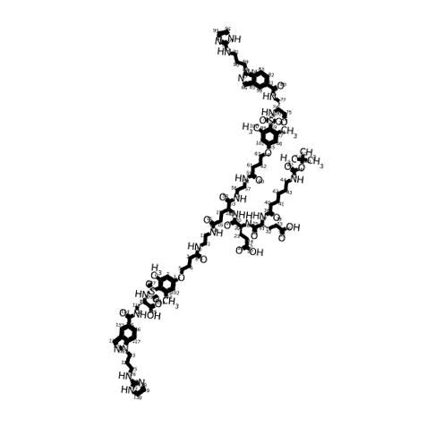 Cc1cc(OCCCC(=O)NCCNC(=O)CCC(NC(=O)[C@H](CCC(=O)O)NC(=O)[C@@H](CCC(=O)O)NC(=O)CCCCCNC(=O)OC(C)(C)C)C(=O)NCCNC(=O)CCCOc2cc(C)c(S(=O)(=O)N[C@@H](C=O)CNC(=O)c3ccc4c(cnn4CCCNc4ncc[nH]4)c3)c(C)c2)cc(C)c1S(=O)(=O)N[C@@H](CNC(=O)c1ccc2c(cnn2CCCNc2ncc[nH]2)c1)C(=O)O